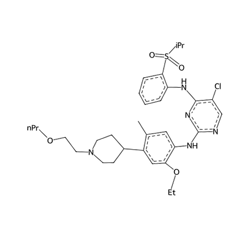 CCCOCCN1CCC(c2cc(OCC)c(Nc3ncc(Cl)c(Nc4ccccc4S(=O)(=O)C(C)C)n3)cc2C)CC1